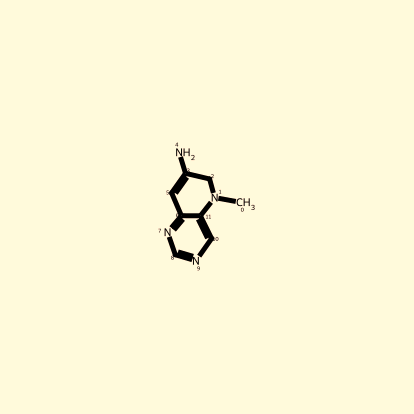 CN1CC(N)=Cc2ncncc21